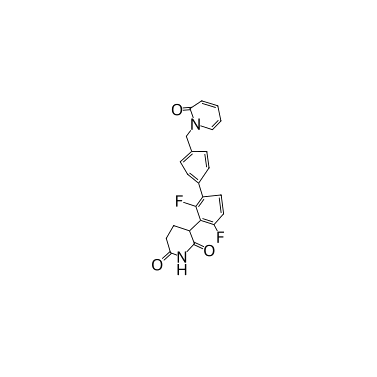 O=C1CCC(c2c(F)ccc(-c3ccc(Cn4ccccc4=O)cc3)c2F)C(=O)N1